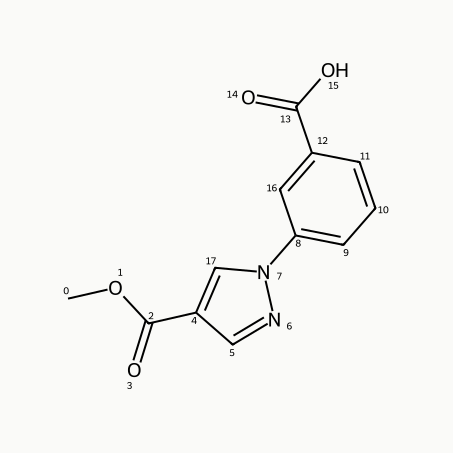 COC(=O)c1cnn(-c2cccc(C(=O)O)c2)c1